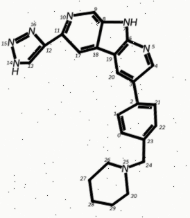 c1cc(-c2cnc3[nH]c4cnc(-c5c[nH]nn5)cc4c3c2)ccc1CN1CCCCC1